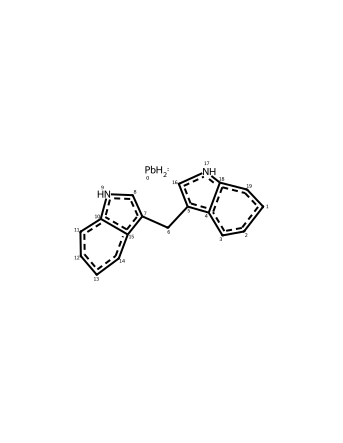 [PbH2].c1ccc2c(Cc3c[nH]c4ccccc34)c[nH]c2c1